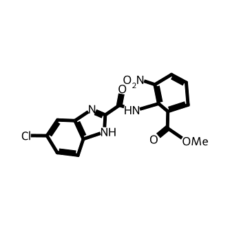 COC(=O)c1cccc([N+](=O)[O-])c1NC(=O)c1nc2cc(Cl)ccc2[nH]1